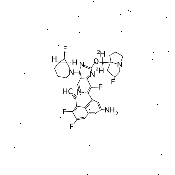 [2H]C([2H])(Oc1nc(N2CCC[C@H]3[C@@H](F)[C@H]32)c2cnc(-c3cc(N)cc4cc(F)c(F)c(C#C)c34)c(F)c2n1)[C@@]12CCCN1C[C@H](F)C2